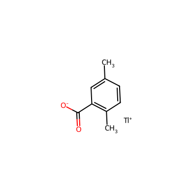 Cc1ccc(C)c(C(=O)[O-])c1.[Tl+]